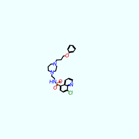 O=S(=O)(NCCN1CCCN(CCCOc2ccccc2)CC1)c1ccc(Cl)c2ncccc12